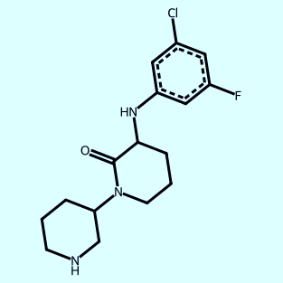 O=C1C(Nc2cc(F)cc(Cl)c2)CCCN1C1CCCNC1